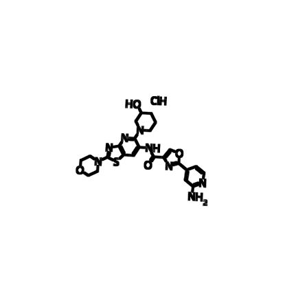 Cl.Nc1cc(-c2nc(C(=O)Nc3cc4sc(N5CCOCC5)nc4nc3N3CCCC(O)C3)co2)ccn1